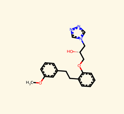 COc1cccc(CCc2ccccc2OC[C@H](O)Cn2cnnc2)c1